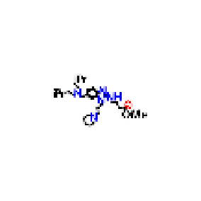 COC(=O)CCCNc1nc2ccc(CN(CCC(C)C)CCC(C)C)cc2n1CCCN1CCCCC1